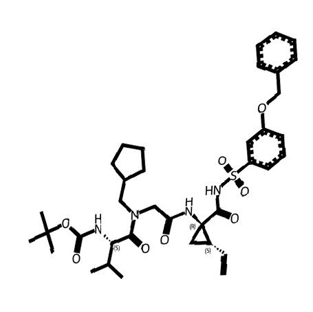 C=C[C@@H]1C[C@]1(NC(=O)CN(CC1CCCC1)C(=O)[C@@H](NC(=O)OC(C)(C)C)C(C)C)C(=O)NS(=O)(=O)c1cccc(OCc2ccccc2)c1